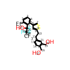 CCc1cccc(-c2csc(CCc3ccc(CO)c(CO)c3)c2)c1C(O)(F)C(F)(F)C(F)(F)F